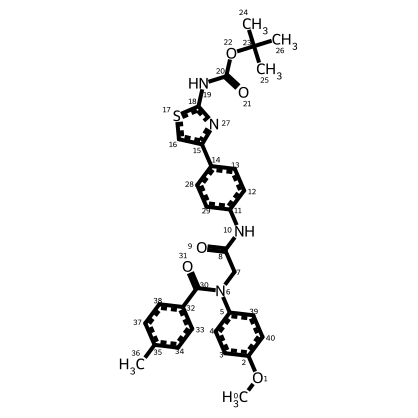 COc1ccc(N(CC(=O)Nc2ccc(-c3csc(NC(=O)OC(C)(C)C)n3)cc2)C(=O)c2ccc(C)cc2)cc1